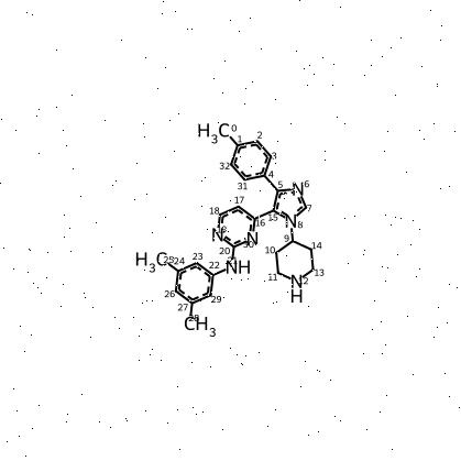 Cc1ccc(-c2ncn(C3CCNCC3)c2-c2ccnc(Nc3cc(C)cc(C)c3)n2)cc1